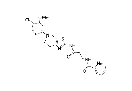 COc1cc(N2CCc3nc(NC(=O)CCNC(=O)c4ccccn4)sc3C2)ccc1Cl